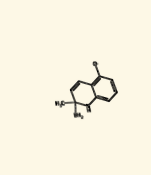 BC1(C)C=Cc2c([O])cccc2N1